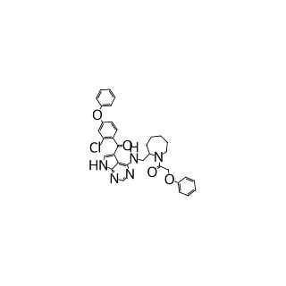 O=C(c1ccc(Oc2ccccc2)cc1Cl)c1c[nH]c2ncnc(NCC3CCCCCN3C(=O)COc3ccccc3)c12